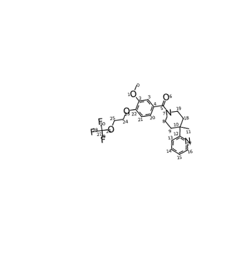 COc1cc(C(=O)N2CCC(C)(c3ccccn3)CC2)ccc1OCCOC(F)(F)F